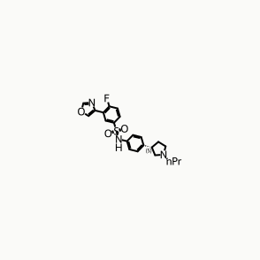 CCCN1CC[C@@H](c2ccc(NS(=O)(=O)c3ccc(F)c(-c4cocn4)c3)cc2)C1